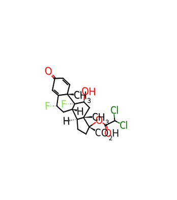 C[C@]12C=CC(=O)C=C1[C@@H](F)C[C@H]1[C@@H]3CC[C@](OC(=O)C(Cl)Cl)(C(=O)O)[C@@]3(C)C[C@H](O)[C@@]12F